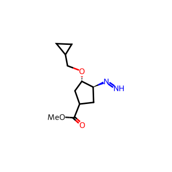 COC(=O)C1C[C@H](N=N)[C@@H](OCC2CC2)C1